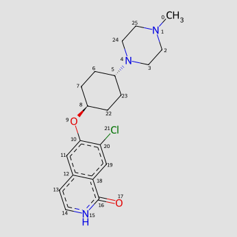 CN1CCN([C@H]2CC[C@H](Oc3cc4cc[nH]c(=O)c4cc3Cl)CC2)CC1